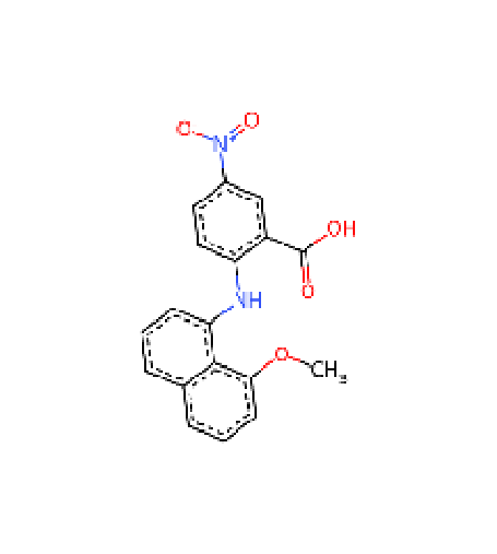 COc1cccc2cccc(Nc3ccc([N+](=O)[O-])cc3C(=O)O)c12